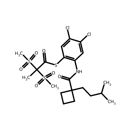 CC(C)CCC1(C(=O)Nc2cc(Cl)c(Cl)cc2SC(=O)C(C)(S(C)(=O)=O)S(C)(=O)=O)CCC1